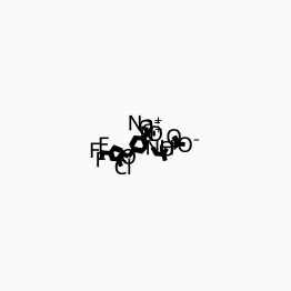 CC(CNc1cc(Oc2ccc(C(F)(F)F)cc2Cl)ccc1[N+](=O)[O-])OCC(=O)[O-].[Na+]